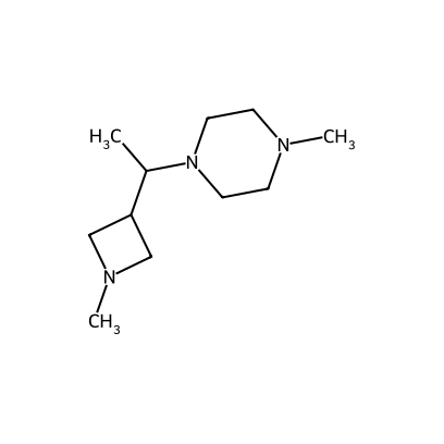 CC(C1CN(C)C1)N1CCN(C)CC1